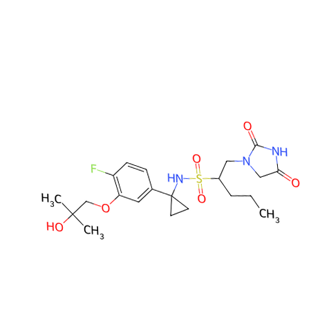 CCCC(CN1CC(=O)NC1=O)S(=O)(=O)NC1(c2ccc(F)c(OCC(C)(C)O)c2)CC1